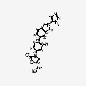 Cn1nncc1N1Cc2ccc(-c3ccc(N4C[C@H](CO)OC4=O)cc3F)cc2C1